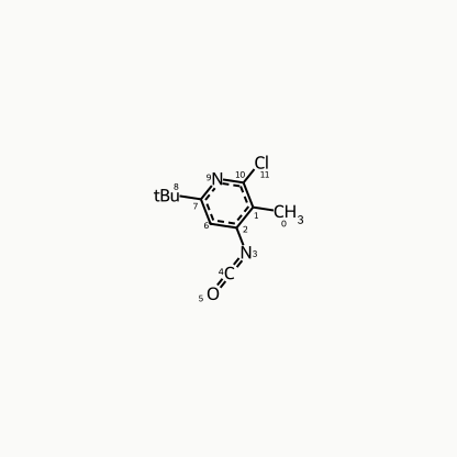 Cc1c(N=C=O)cc(C(C)(C)C)nc1Cl